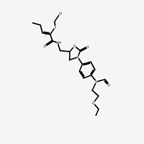 CC/C=C(\SCCl)C(=O)NCC1CN(c2ccc(N(C=O)CCOCC)cc2)C(=O)O1